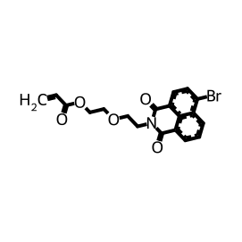 C=CC(=O)OCCOCCN1C(=O)c2cccc3c(Br)ccc(c23)C1=O